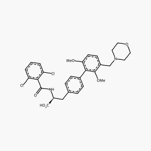 COc1ccc(CN2CCOCC2)c(OC)c1-c1ccc(C[C@H](NC(=O)c2c(Cl)cccc2Cl)C(=O)O)cc1